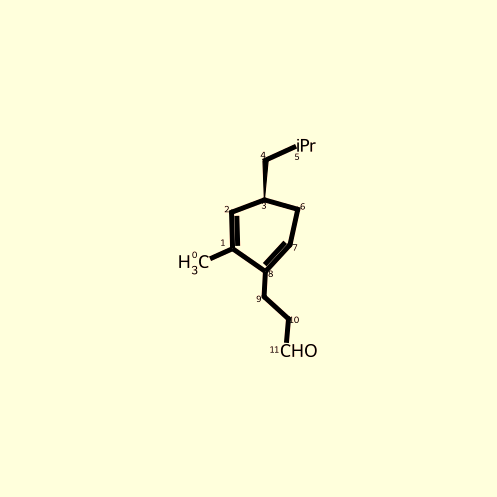 CC1=C[C@@H](CC(C)C)CC=C1CCC=O